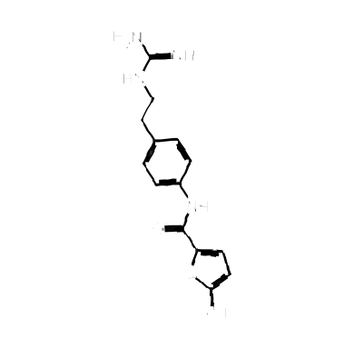 Cc1ccc(C(=O)Nc2ccc(CCNC(=N)N)cc2)s1